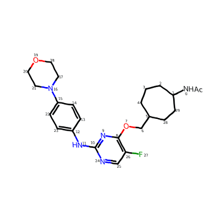 CC(=O)NC1CCCC(COc2nc(Nc3ccc(N4CCOCC4)cc3)ncc2F)CC1